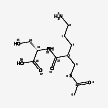 CC(=O)SCC(CCCN)C(=O)N[C@@H](CO)C(=O)O